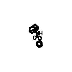 O=C(NC12CC3CC(CC(C3)C1)C2)Oc1ccccc1